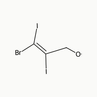 [O]CC(I)=C(Br)I